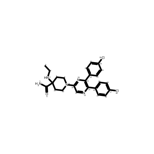 CCNC1(C(N)=O)CCN(c2cnc(-c3ccc(Cl)cc3)c(-c3ccc(Cl)cc3)n2)CC1